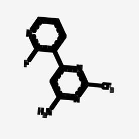 Nc1cc(-c2cccnc2F)nc(C(F)(F)F)n1